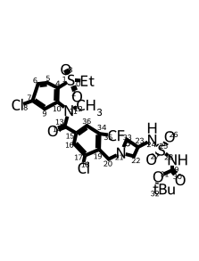 CCS(=O)(=O)c1ccc(Cl)cc1N(C)C(=O)c1cc(Cl)c(CN2CC(NS(=O)(=O)NC(=O)OC(C)(C)C)C2)c(C(F)(F)F)c1